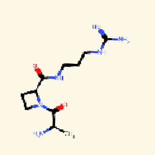 C[C@@H](N)C(=O)N1CC[C@H]1C(=O)NCCCNC(=N)N